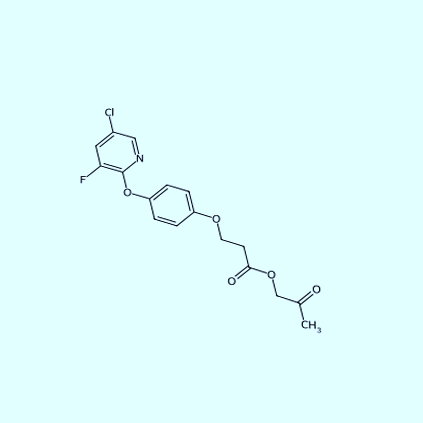 CC(=O)COC(=O)CCOc1ccc(Oc2ncc(Cl)cc2F)cc1